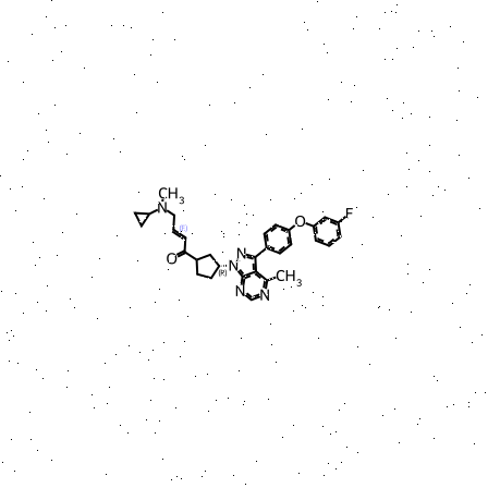 Cc1ncnc2c1c(-c1ccc(Oc3cccc(F)c3)cc1)nn2[C@@H]1CCC(C(=O)/C=C/CN(C)C2CC2)C1